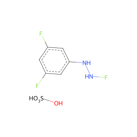 FNNc1cc(F)cc(F)c1.O=S(=O)(O)O